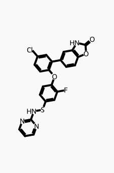 O=c1[nH]c2cc(-c3cc(Cl)ccc3Oc3ccc(SNc4ncccn4)cc3F)ccc2o1